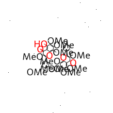 COc1c(OC)c(OC)c2c(=O)c(OC)c(-c3ccccc3)oc2c1OC.COc1ccc(-c2oc3c(OC)c(OC)c(OC)c(O)c3c(=O)c2OC)cc1OC